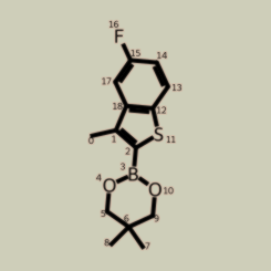 Cc1c(B2OCC(C)(C)CO2)sc2ccc(F)cc12